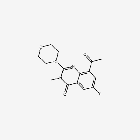 CC(=O)c1cc(F)cc2c(=O)n(C)c(N3CCOCC3)nc12